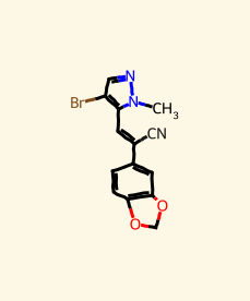 Cn1ncc(Br)c1/C=C(\C#N)c1ccc2c(c1)OCO2